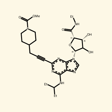 CCNC(=O)[C@H]1O[C@@H](n2cnc3c(NC(CC)CC)nc(C#CCC4CCN(C(=O)OC)CC4)nc32)C(O)[C@H]1O